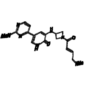 CNCC=CC(=O)N1CC(Nc2cc(-c3ccnc(NC)n3)c[nH]c2=O)C1